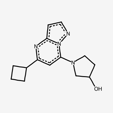 OC1CCN(c2cc(C3CCC3)nc3ccnn23)C1